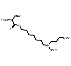 CCCCCCCCCC(CCCCCC)C(=O)OCCCCCCCN(CCCCC)CCCNC